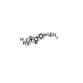 C=C(CS)C(=O)Oc1ccc(-c2ccc(CCCCC)cc2)cc1F